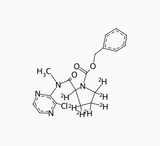 [2H]C1([2H])N(C(=O)OCc2ccccc2)C([2H])(C(=O)N(C)c2nccnc2Cl)C([2H])([2H])C1([2H])[2H]